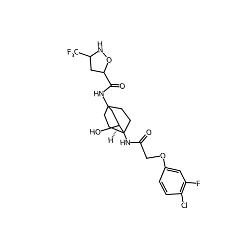 O=C(COc1ccc(Cl)c(F)c1)NC12CCC(NC(=O)C3CC(C(F)(F)F)NO3)(CC1)C[C@@H]2O